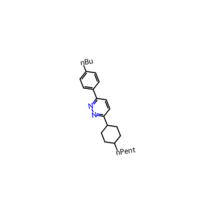 CCCCCC1CCC(c2ccc(-c3ccc(CCCC)cc3)nn2)CC1